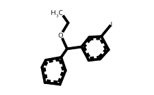 CCOC(c1ccccc1)c1cccc(I)c1